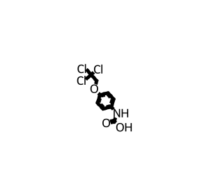 O=C(O)Nc1ccc(OCC(Cl)(Cl)Cl)cc1